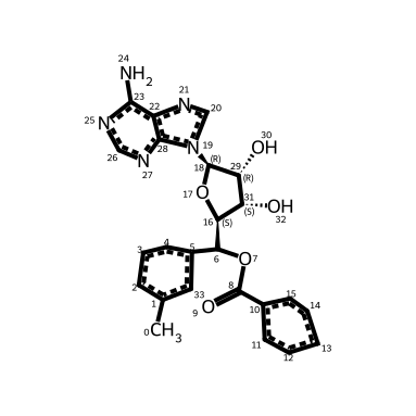 Cc1cccc(C(OC(=O)c2ccccc2)[C@H]2O[C@@H](n3cnc4c(N)ncnc43)[C@H](O)[C@@H]2O)c1